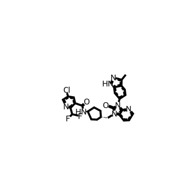 Cc1n[nH]c2cc(-n3c(=O)n(C[C@H]4CC[C@H](NC(=O)c5cc(Cl)cnc5C(F)F)CC4)c4cccnc43)ccc12